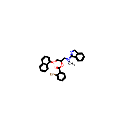 CN(CC(COc1cccc2ccccc12)OC(=O)c1ccccc1Br)C1=NCc2ccccc21